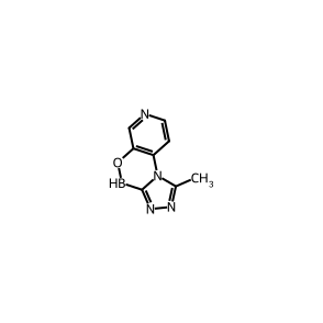 Cc1nnc2n1-c1ccncc1OB2